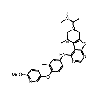 COc1ccc(Oc2ccc(Nc3ncnc4sc5c(c34)[C@@H](C)CN(C(C)N(C)C)C5)cc2C)cn1